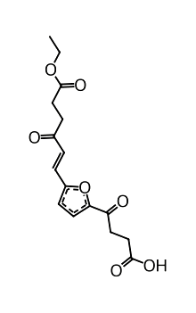 CCOC(=O)CCC(=O)C=Cc1ccc(C(=O)CCC(=O)O)o1